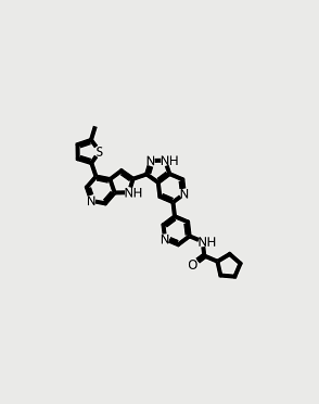 Cc1ccc(-c2cncc3[nH]c(-c4n[nH]c5cnc(-c6cncc(NC(=O)C7CCCC7)c6)cc45)cc23)s1